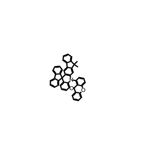 CC1(C)c2ccccc2-c2cc3c(cc21)N(c1cccc2oc4ccccc4c(=O)c12)c1ccccc1C31c2ccccc2-c2ccccc21